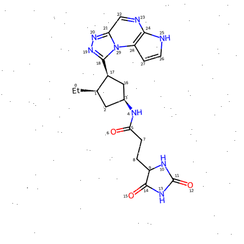 CC[C@@H]1C[C@H](NC(=O)CCC2NC(=O)NC2=O)C[C@@H]1c1nnc2cnc3[nH]ccc3n12